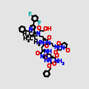 CC(C)(C)[C@H](c1cc(-c2cc(F)ccc2F)cn1Cc1ccccc1)N(CC[C@H](NC(=O)C[C@H](NC(=O)C[C@H](NC(=O)OCc1ccccc1)C(N)=O)C(N)=O)C(=O)NCCNC(=O)CN1C(=O)C=CC1=O)C(=O)CO